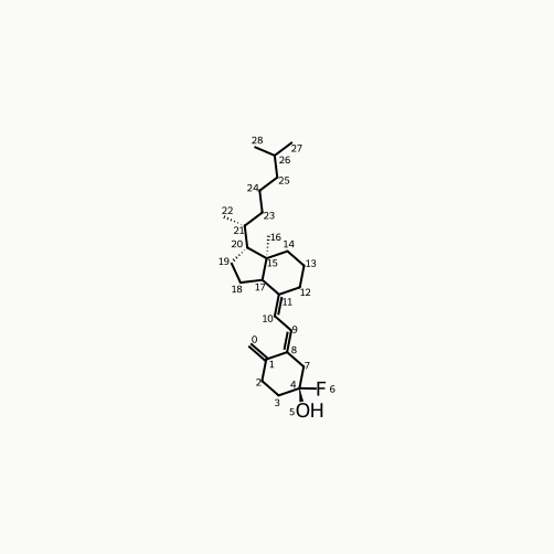 C=C1CC[C@@](O)(F)C/C1=C/C=C1CCC[C@@]2(C)C1CC[C@@H]2[C@H](C)CCCC(C)C